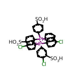 O=S(=O)(O)c1ccc([PH](c2ccccc2)(c2ccc(S(=O)(=O)O)cc2)[PH](c2ccc(Cl)cc2)(c2ccc(Cl)cc2)c2ccc(Cl)c(S(=O)(=O)O)c2)cc1